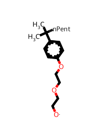 CCCCCC(C)(C)c1ccc(OCCOCC[O])cc1